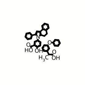 CC(C(=O)O)c1cccc(Oc2ccccc2)c1.O=C(O)c1cc(-n2c(-c3ccccc3)cc3c2CCc2ccccc2-3)ccc1O